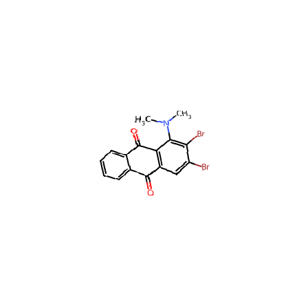 CN(C)c1c(Br)c(Br)cc2c1C(=O)c1ccccc1C2=O